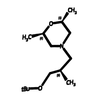 C[C@@H](COC(C)(C)C)CN1C[C@@H](C)O[C@@H](C)C1